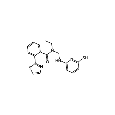 CCN(CNc1cccc(S)n1)C(=O)c1ccccc1-c1nccs1